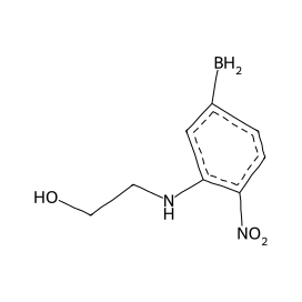 Bc1ccc([N+](=O)[O-])c(NCCO)c1